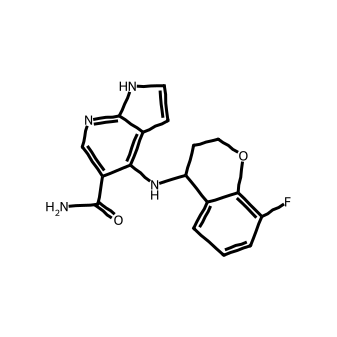 NC(=O)c1cnc2[nH]ccc2c1NC1CCOc2c(F)cccc21